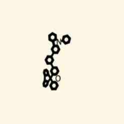 c1ccc(-n2c3ccccc3c3cc(-c4cccc(-c5ccc6c(c5)C5(c7ccccc7O6)c6ccccc6-c6ccccc65)c4)ccc32)cc1